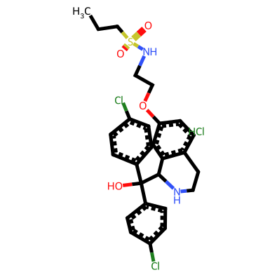 CCCS(=O)(=O)NCCOc1ccc2c(c1)C(C(O)(c1ccc(Cl)cc1)c1ccc(Cl)cc1)NCC2.Cl